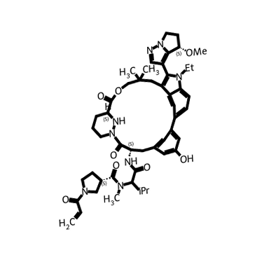 C=CC(=O)N1CC[C@H](C(=O)N(C)C(C(=O)N[C@H]2Cc3cc(O)cc(c3)-c3ccc4c(c3)c(c(-c3cnn5c3[C@@H](OC)CC5)n4CC)CC(C)(C)COC(=O)[C@@H]3CCCN(N3)C2=O)C(C)C)C1